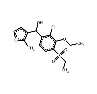 CCOc1c(S(=O)(=O)CC)ccc(C(O)c2cnoc2C)c1Cl